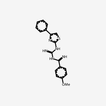 COc1ccc(C(=N)NC(=N)Nc2nc(-c3ccccc3)cs2)cc1